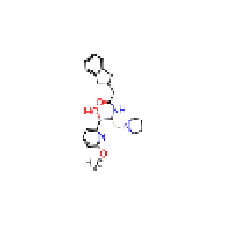 COc1cccc([C@@H](O)[C@@H](CN2CCCC2)NC(=O)CC2Cc3ccccc3C2)n1